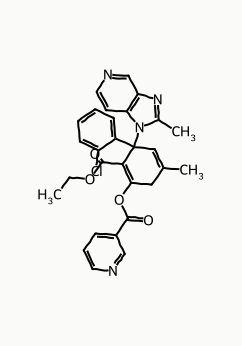 CCOC(=O)C1=C(OC(=O)c2cccnc2)CC(C)=CC1(c1ccccc1Cl)n1c(C)nc2cnccc21